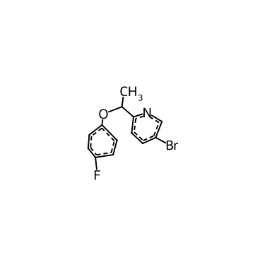 CC(Oc1ccc(F)cc1)c1ccc(Br)cn1